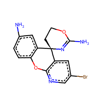 NC1=N[C@@]2(CCO1)c1cc(N)ccc1Oc1ncc(Br)cc12